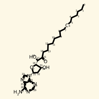 CCCCCCCCCCCCCCCC(=O)C(O)[C@H]1O[C@@H](n2cnc3c(N)ncnc32)C[C@@H]1O